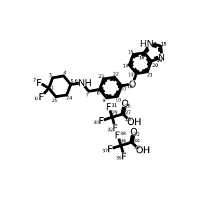 FC1(F)CCC(NCc2ccc(Oc3ccc4[nH]cnc4c3)cc2)CC1.O=C(O)C(F)(F)F.O=C(O)C(F)(F)F